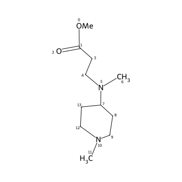 COC(=O)CCN(C)C1CCN(C)CC1